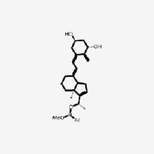 C=C1C(=CC=C2CCC[C@]3(C)C([C@H](C)ON(OC)C(C)=O)=CCC23)C[C@@H](O)C[C@@H]1O